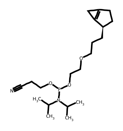 CC(C)N(C(C)C)P(OCCC#N)OCCOCCC[C@@H]1CCC2=C1C2